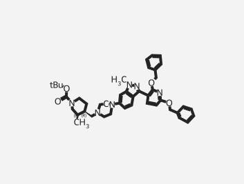 C[C@H]1CN(C(=O)OC(C)(C)C)CC[C@H]1CN1CCN(c2ccc3c(-c4ccc(OCc5ccccc5)nc4OCc4ccccc4)nn(C)c3c2)CC1